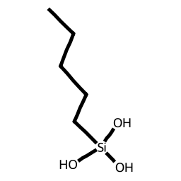 CCCCC[Si](O)(O)O